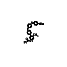 Cc1ccc(NC(=O)C(C)C)cc1C1CCN(Cc2ccc(Sc3ccc(C(C)(C)C)cc3)cc2)CC1